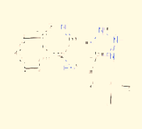 CC(C)(C)CC(Nc1cncc2ccccc12)c1nn[nH]n1